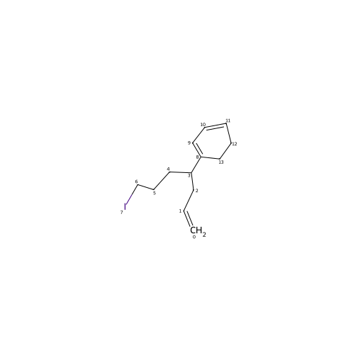 C=CCC(CCCI)C1=CC=CCC1